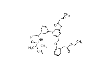 CCOC(=O)Cc1ccccc1OCc1cc(-c2cccc([C@H](CF)N[S@+]([O-])C(C)(C)C)c2)c2oc(COC)cc2c1